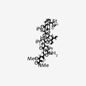 C=C/C=C(\C=C)C[C@@H](C(=O)N[C@@H](CC(C)C)C(=O)N(C)[C@@H](CC(C)C)C(=O)N(CCC(=C)/C=C(/OC)C(=C)C(=O)NC)CC(N)=O)N(C)C(=O)[C@H](CC(C)C)N(C)C(=O)[C@H](CC(C)C)NC(=O)[C@H](CC)N(C)C